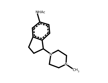 CC(=O)Nc1ccc2c(c1)CCC2N1CCN(C)CC1